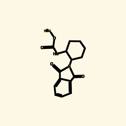 CCCCOC(=O)NC1CCCCC1N1C(=O)c2ccccc2C1=O